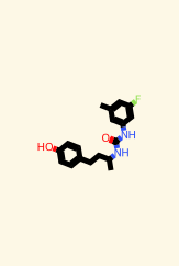 Cc1cc(F)cc(NC(=O)NC(C)CCc2ccc(O)cc2)c1